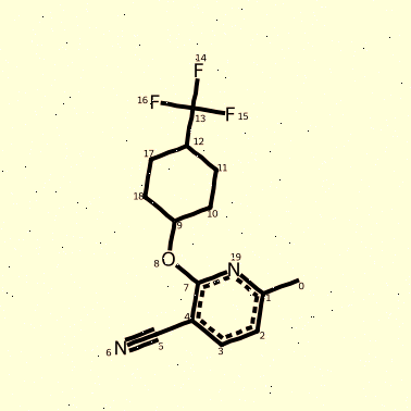 Cc1ccc(C#N)c(OC2CCC(C(F)(F)F)CC2)n1